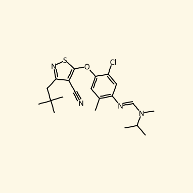 Cc1cc(Oc2snc(CC(C)(C)C)c2C#N)c(Cl)cc1N=CN(C)C(C)C